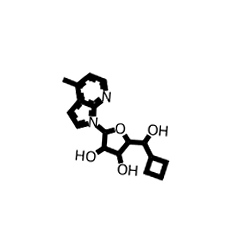 Cc1ccnc2c1ccn2C1OC(C(O)C2CCC2)C(O)C1O